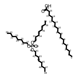 CCCCCCCCCCCCCCCCCC(=O)O.CCCCCCCCOP(=O)(OCCCCCCCC)OCCCCCCCC